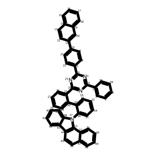 c1ccc(-c2nc(-c3ccc(-c4ccc5ccccc5c4)cc3)nc(-c3ccccc3-c3ccccc3-n3c4ccccc4c4ccc5ccccc5c43)n2)cc1